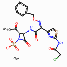 COC(=O)[C@H]1[C@@H](NC(=O)C(=NOCc2ccccc2)c2csc(NC(=O)CCl)n2)C(=O)N1S(=O)(=O)[O-].[Na+]